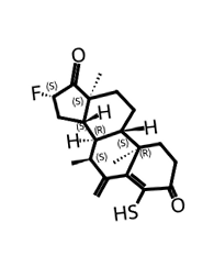 C=C1C2=C(S)C(=O)CC[C@]2(C)[C@H]2CC[C@]3(C)C(=O)[C@@H](F)C[C@H]3[C@@H]2[C@@H]1C